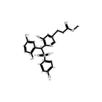 COC(=O)CCc1cnc(C(c2cc(F)ccc2F)S(=O)(=O)c2ccc(Cl)cc2)c(F)c1